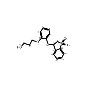 O=S1(=O)CC(Sc2ccccc2OCCCO)c2ccccc21